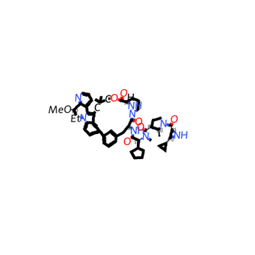 CCn1c(-c2cccnc2[C@H](C)OC)c2c3cc(ccc31)-c1cccc(c1)C[C@H](NC(=O)[C@H](C1CCCC1)N(C)C(=O)[C@@H]1CCN(C(=O)[C@@H]3N[C@@H]3C3CC3)[C@H]1C)C(=O)N1CCC[C@H](N1)C(=O)OCC(C)(C)C2